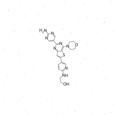 C[C@@H](O)CNc1ccc(-c2cc3nc(-c4cnc(N)nc4)nc(N4CCOCC4)c3s2)cn1